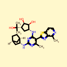 Cc1nc(N[C@@H]2C[C@H]3CC[C@@H]2C3)nc(N[C@@H]2C[C@H](C(C)(C)O)[C@@H](O)[C@H]2O)c1-c1nc2c(C)nccc2s1